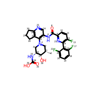 C[C@H]1CN(c2c(NC(=O)c3ccc(F)c(-c4c(F)cccc4F)n3)cnc3c2CCC3)C[C@@H](NC(=O)O)[C@H]1O